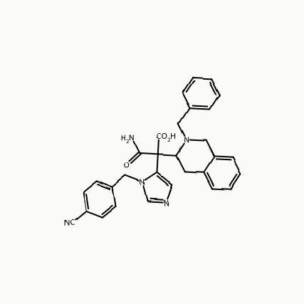 N#Cc1ccc(Cn2cncc2C(C(N)=O)(C(=O)O)C2Cc3ccccc3CN2Cc2ccccc2)cc1